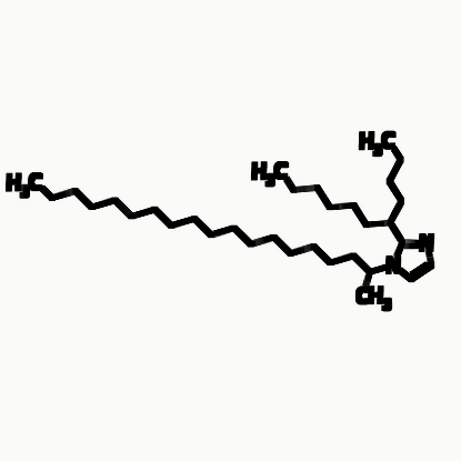 CCCCCCCCCCCCCCCCCC(C)n1ccnc1C(CCCC)CCCCCC